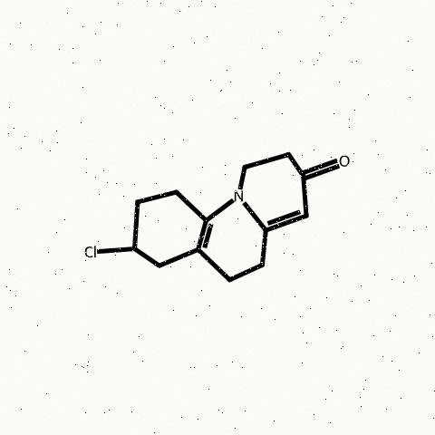 O=C1C=C2CCC3=C(CCC(Cl)C3)N2CC1